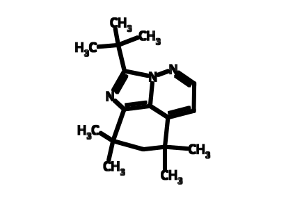 CC(C)(C)c1nc2c3c(ccnn13)C(C)(C)CC2(C)C